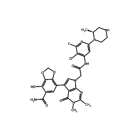 Cc1nc2c(c(-c3cc(C(N)=O)c(O)c4c3OCO4)cn2CC(=O)Nc2cc(N3CCNC[C@@H]3C)nc(F)c2Cl)c(=O)n1C